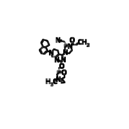 C=CC(=O)N1CCN(c2nc(OC[C@H]3CN(C)C4(CC4)CO3)nc3c2CCN(c2cccc4c2CCC=C4)C3)C[C@@H]1CC#N